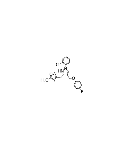 Cc1nc(CC2NN(c3ccccc3Cl)C=C2COc2ccc(F)cc2)no1